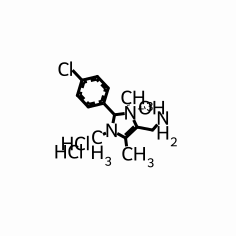 CC1=C(CN)[N+](C)(O)C(c2ccc(Cl)cc2)N1C.Cl.Cl